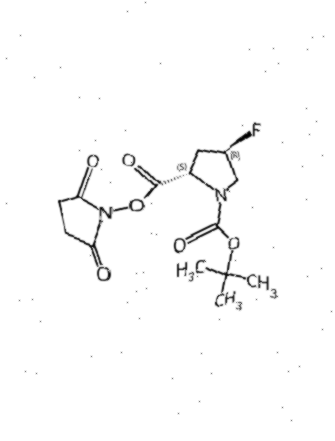 CC(C)(C)OC(=O)N1C[C@H](F)C[C@H]1C(=O)ON1C(=O)CCC1=O